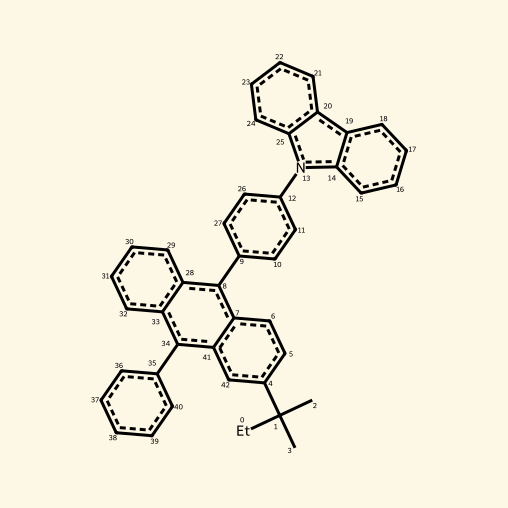 CCC(C)(C)c1ccc2c(-c3ccc(-n4c5ccccc5c5ccccc54)cc3)c3ccccc3c(-c3ccccc3)c2c1